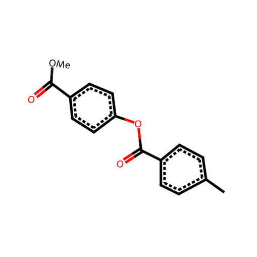 COC(=O)c1ccc(OC(=O)c2ccc(C)cc2)cc1